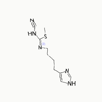 CS/C(=N\CCCCc1c[nH]cn1)NC#N